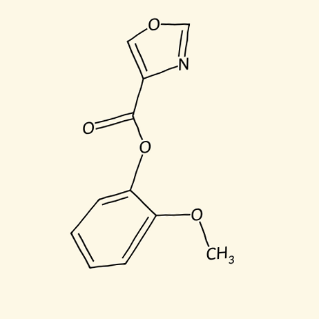 COc1ccccc1OC(=O)c1cocn1